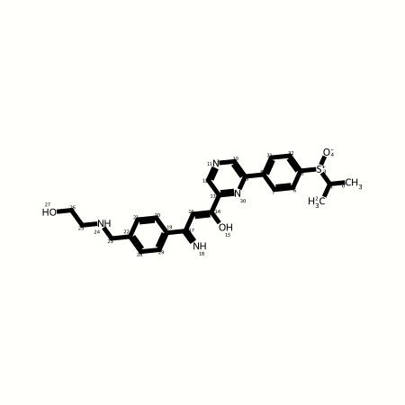 CC(C)[S+]([O-])c1ccc(-c2cncc(/C(O)=C/C(=N)c3ccc(CNCCO)cc3)n2)cc1